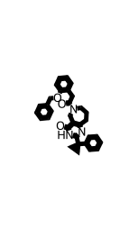 O=C(Cc1ccccc1OCc1ccccc1)N1CCCc2nc(C3(c4ccccc4)CC3)[nH]c(=O)c2C1